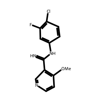 COc1ccncc1C(=N)Nc1ccc(Cl)c(F)c1